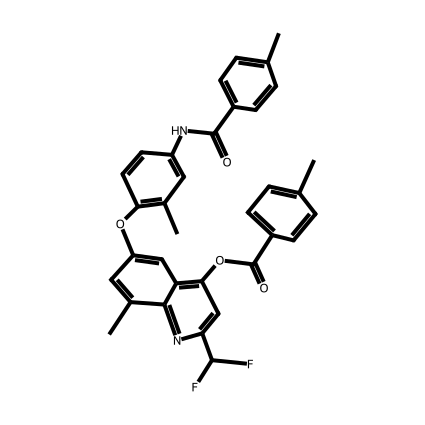 Cc1ccc(C(=O)Nc2ccc(Oc3cc(C)c4nc(C(F)F)cc(OC(=O)c5ccc(C)cc5)c4c3)c(C)c2)cc1